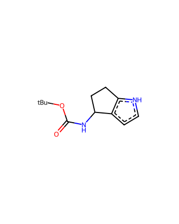 CC(C)(C)OC(=O)NC1CCc2[nH]ccc21